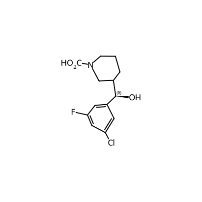 O=C(O)N1CCCC([C@@H](O)c2cc(F)cc(Cl)c2)C1